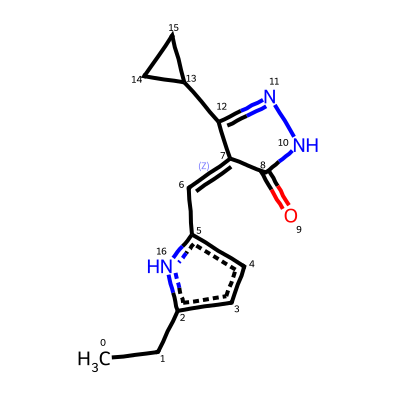 CCc1ccc(/C=C2\C(=O)NN=C2C2CC2)[nH]1